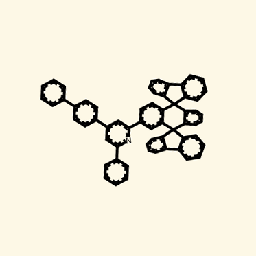 c1ccc(-c2ccc(-c3cc(-c4ccccc4)nc(-c4ccc5c(c4)C4(c6ccccc6-c6ccccc64)c4ccccc4C54c5ccccc5-c5ccccc54)c3)cc2)cc1